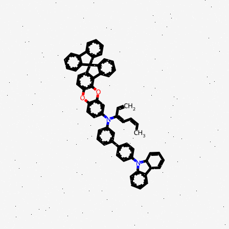 C=C/C(=C\C=C/C)N(c1cccc(-c2ccc(N3c4ccccc4C4C=CC=CC43)cc2)c1)c1ccc2c(c1)Oc1c(ccc3c1-c1ccccc1C31c3ccccc3-c3ccccc31)O2